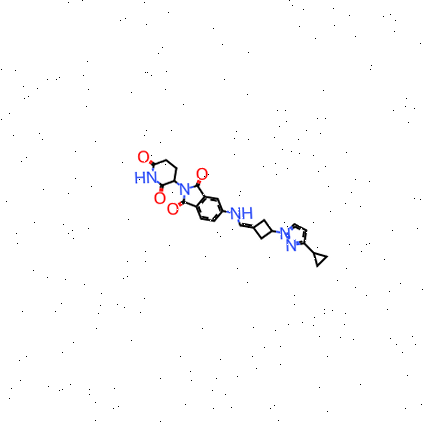 O=C1CCC(N2C(=O)c3ccc(NC=C4CC(n5ccc(C6CC6)n5)C4)cc3C2=O)C(=O)N1